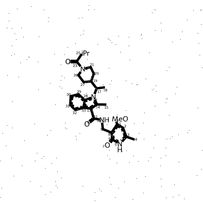 COc1cc(C)[nH]c(=O)c1CNC(=O)c1c(C)n(C(C)C2CCN(C(=O)C(C)C)CC2)c2ccccc12